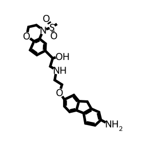 CS(=O)(=O)N1CCOc2ccc(C(O)CNCCOc3ccc4c(c3)Cc3cc(N)ccc3-4)cc21